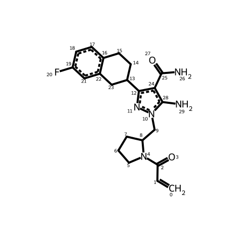 C=CC(=O)N1CCCC1Cn1nc(C2CCc3ccc(F)cc3C2)c(C(N)=O)c1N